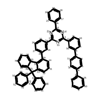 c1ccc(-c2ccc(-c3cccc(-c4nc(-c5ccccc5)nc(-c5cccc(-c6cccc7c6-c6ccccc6C7(c6ccccc6)c6ccccc6)c5)n4)c3)cc2)cc1